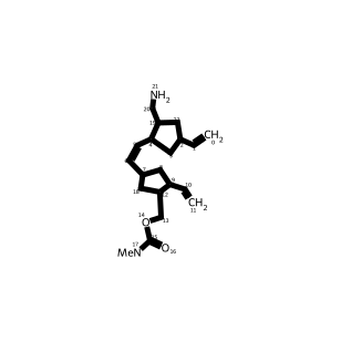 C=CC1CC(/C=C\C2CC(C=C)C(COC(=O)NC)C2)C(CN)C1